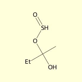 CCC(C)(O)O[SH]=O